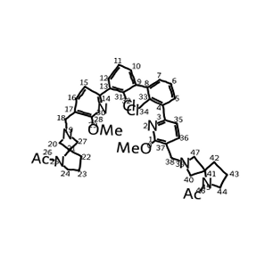 COc1nc(-c2cccc(-c3cccc(-c4ccc(CN5CC6(CCCN6C(C)=O)C5)c(OC)n4)c3Cl)c2Cl)ccc1CN1CC2(CCCN2C(C)=O)C1